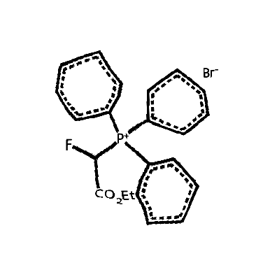 CCOC(=O)C(F)[P+](c1ccccc1)(c1ccccc1)c1ccccc1.[Br-]